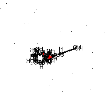 CCCC[C@H](NC(=O)[C@H](CO)NC(=O)[C@H](Cc1ccc(O)cc1)NC(=O)[C@H](C)N[C@H](O)CCNC(=O)COCCOCCNC(=O)CCCCCCCCCCCCCCC(O)O)C(=O)N[C@H]1CCC(=O)NCCCC[C@@H](C(N)=O)NC(=O)[C@H](Cc2c[nH]c3ccccc23)NC(=O)[C@H](CCCNC(=N)N)NC(=O)[C@@H](Cc2ccccc2)NC(=O)[C@@H]2C[C@@H](O)CN2C1=O